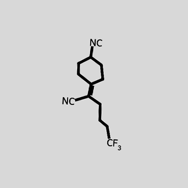 [C-]#[N+]C1CCC(=C(C#N)CCCC(F)(F)F)CC1